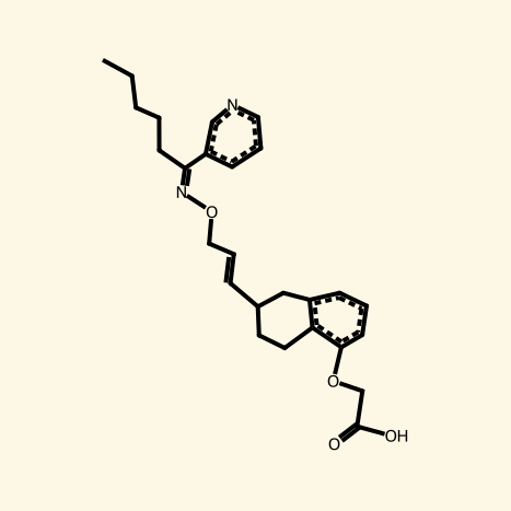 CCCCCC(=NOCC=CC1CCc2c(cccc2OCC(=O)O)C1)c1cccnc1